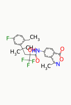 CCc1ccc(F)cc1C(C)(C)CC(O)(C(=O)Nc1ccc2c(=O)onc(C)c2c1)C(F)(F)F